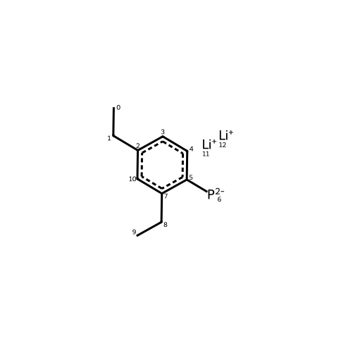 CCc1ccc([P-2])c(CC)c1.[Li+].[Li+]